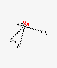 C=C(C(=O)O)C(CCCCCCCCCCCC)(CCCCCCCCCCCC)CCCCCCCCCCCC